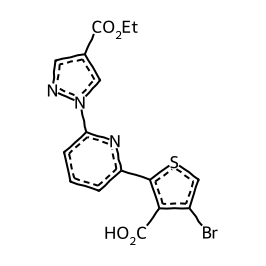 CCOC(=O)c1cnn(-c2cccc(-c3scc(Br)c3C(=O)O)n2)c1